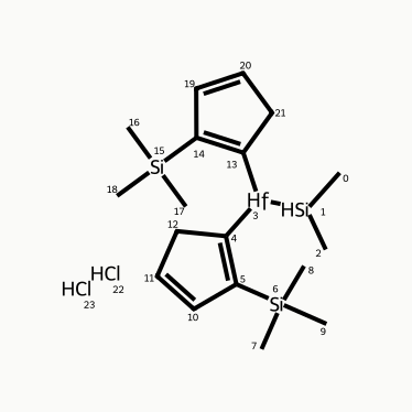 C[SiH](C)[Hf]([C]1=C([Si](C)(C)C)C=CC1)[C]1=C([Si](C)(C)C)C=CC1.Cl.Cl